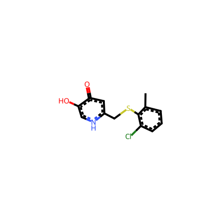 Cc1cccc(Cl)c1SCc1cc(=O)c(O)c[nH]1